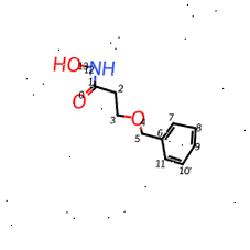 O=C(CCOCc1ccccc1)NO